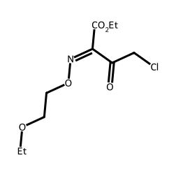 CCOCCON=C(C(=O)CCl)C(=O)OCC